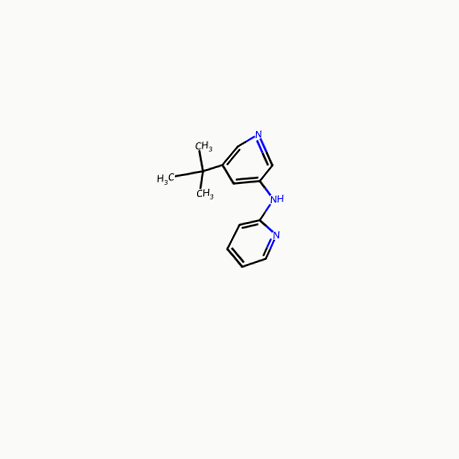 CC(C)(C)c1cncc(Nc2ccccn2)c1